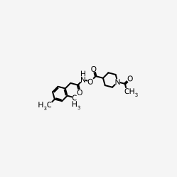 CC(=O)N1CCC(C(=O)ONC(=O)Cc2ccc(C)cc2C)CC1